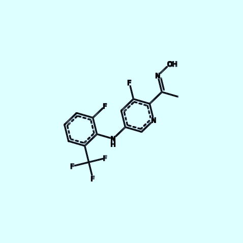 CC(=NO)c1ncc(Nc2c(F)cccc2C(F)(F)F)cc1F